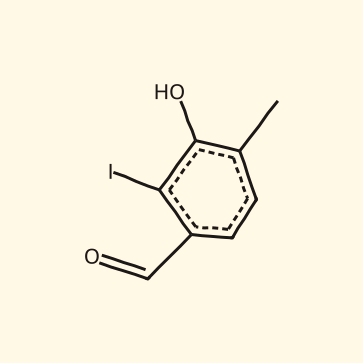 Cc1ccc(C=O)c(I)c1O